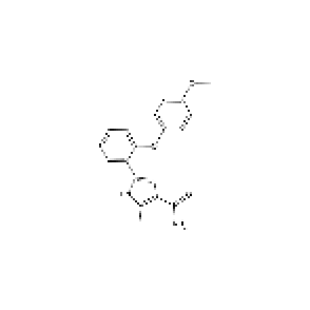 COc1ccc(Oc2ccccc2-c2cc(C(N)=O)c(C)[nH]2)cc1